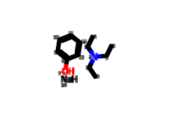 CCN(CC)CC.Oc1ccccc1.[NaH]